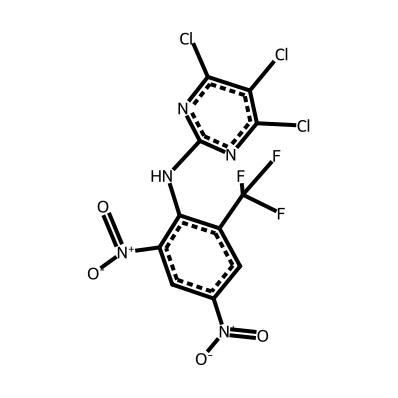 O=[N+]([O-])c1cc([N+](=O)[O-])c(Nc2nc(Cl)c(Cl)c(Cl)n2)c(C(F)(F)F)c1